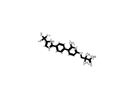 Cc1nc(OCC(C)(C)C(=O)O)ccc1-c1ccc(-c2ncc(C(F)(F)F)[nH]2)cc1